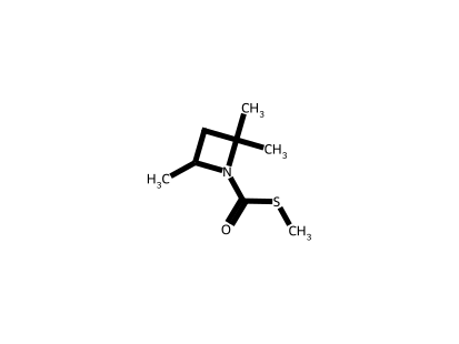 CSC(=O)N1C(C)CC1(C)C